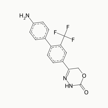 Nc1ccc(-c2ccc(C3=NNC(=O)OC3)cc2C(F)(F)F)cc1